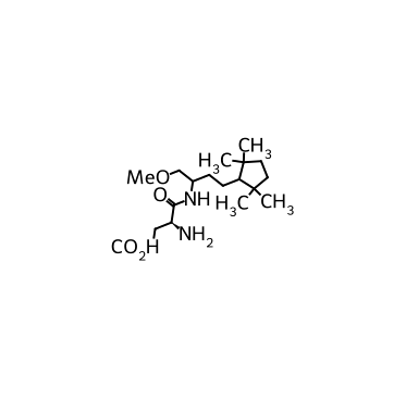 COCC(CCC1C(C)(C)CCC1(C)C)NC(=O)[C@@H](N)CC(=O)O